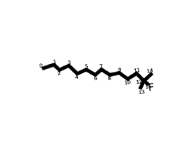 CCCCCCCCCCCCC(C)(C)F